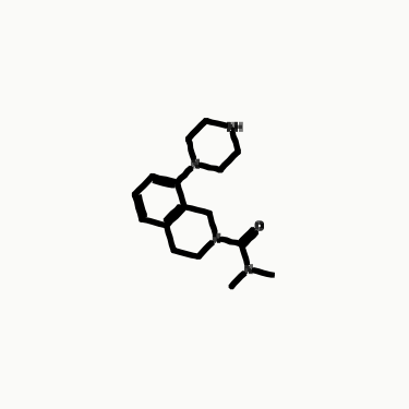 CN(C)C(=O)N1CCc2cccc(N3CCNCC3)c2C1